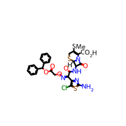 CSC1=C(C(=O)O)N2C(=O)C(NC(=O)/C(=N\OCC(=O)OC(c3ccccc3)c3ccccc3)c3nc(N)sc3Cl)[C@H]2SC1